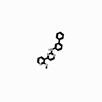 COc1ncccc1-c1ccnc(Nc2cccc(-c3ccccc3)c2)n1